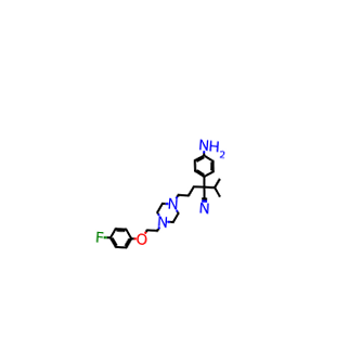 CC(C)C(C#N)(CCCN1CCN(CCOc2ccc(F)cc2)CC1)c1ccc(N)cc1